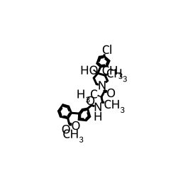 COC(=O)c1ccccc1-c1cccc(C(=O)NC(C)[C@@H](C)C(=O)N2CC[C@](O)(c3ccc(Cl)cc3)C(C)(C)C2)c1